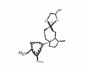 CCCC1CO[C@]2(CC[C@@]3(c4ccc(OC)c(OC)c4)CCN(C)C3C2)O1